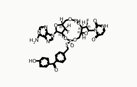 Nc1ncnc2c1ncn2C1O[C@@H]2COPO[C@@H]3[C@@H](COP(=O)(SCc4ccc(C(=O)c5ccc(O)cc5)cc4)O[C@@H]1[C@@H]2F)OC(n1c(=O)cc[nH]c1=O)[C@@H]3F